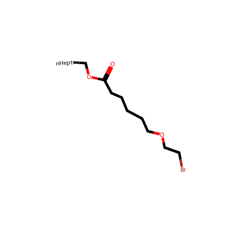 CCCCCCCCOC(=O)CCCCCOCCBr